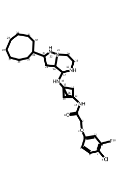 O=C(COc1ccc(Cl)c(F)c1)NC12CC(NC3NCCN4NC(C5CCCCCCCC5)CC34)(C1)C2